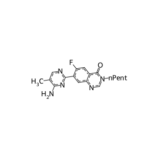 CCCCCn1cnc2cc(-c3ncc(C)c(N)n3)c(F)cc2c1=O